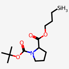 CC(C)(C)OC(=O)N1CCCC1C(=O)OCCC[SiH3]